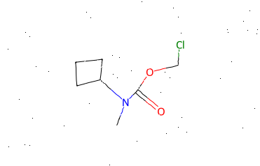 CN(C(=O)OCCl)C1CCC1